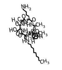 CCCCCCCCCCNC[C@@H](N)C(=O)N[C@H](C(=O)N[C@@H](C)C(=O)N[C@@H](CCCCN)C(=O)N[C@@H](C)B1O[C@@H]2C[C@@H]3C[C@@H](C3(C)C)[C@]2(C)O1)[C@@H](C)O